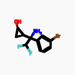 N[C@@](c1cccc(Br)c1)(C(F)F)[C@H]1C[C@H]1O